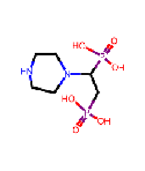 O=P(O)(O)CC(N1CCNCC1)P(=O)(O)O